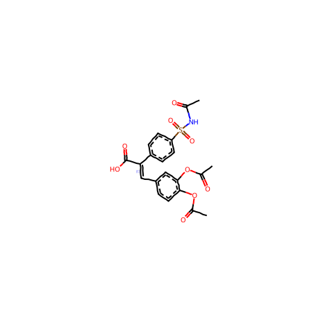 CC(=O)NS(=O)(=O)c1ccc(/C(=C\c2ccc(OC(C)=O)c(OC(C)=O)c2)C(=O)O)cc1